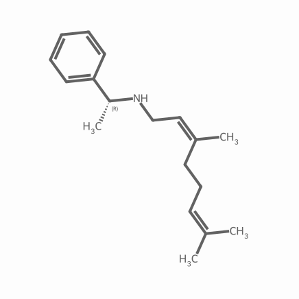 CC(C)=CCCC(C)=CCN[C@H](C)c1ccccc1